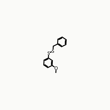 COc1cccc(SSCc2ccccc2)c1